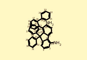 Nc1cccc2c1-c1ccc(N)c(-c3ccccc3-c3ccccc3)c1C2(c1ccccc1)c1ccccc1